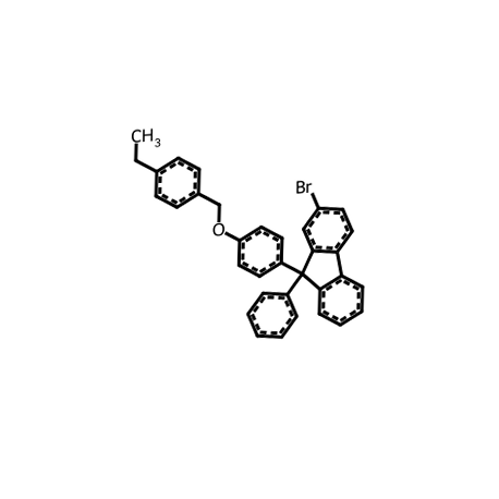 CCc1ccc(COc2ccc(C3(c4ccccc4)c4ccccc4-c4ccc(Br)cc43)cc2)cc1